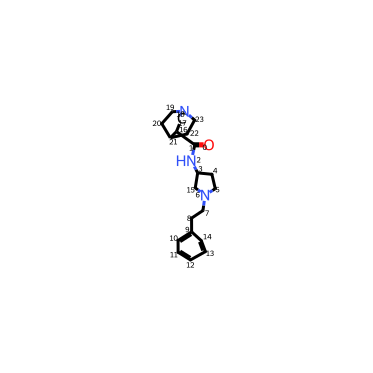 O=C(NC1CCN(CCc2ccccc2)C1)C1CN2CCC1CC2